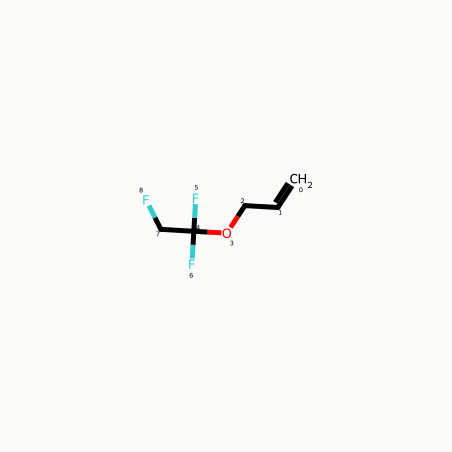 C=CCOC(F)(F)CF